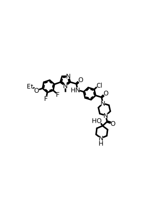 CCOc1ccc(-c2cnc(C(=O)Nc3ccc(C(=O)N4CCN(C(=O)C5(O)CCNCC5)CC4)c(Cl)c3)n2C)c(F)c1F